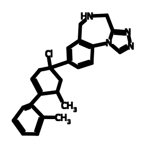 Cc1ccccc1C1=CCC(Cl)(c2ccc3c(c2)CNCc2nncn2-3)CC1C